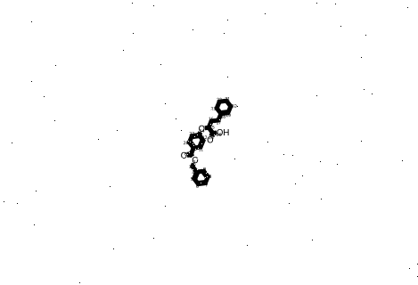 O=C(OCc1ccccc1)c1ccc(OC(CCC2=CCCCC2)C(=O)O)cc1